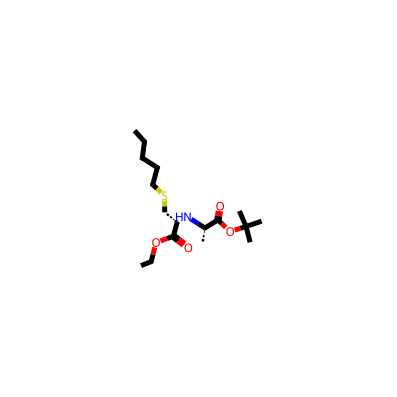 CCCCCSC[C@H](N[C@@H](C)C(=O)OC(C)(C)C)C(=O)OCC